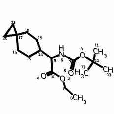 CCOC(=O)C(NC(=O)OC(C)(C)C)C1CCC2(CC1)CC2